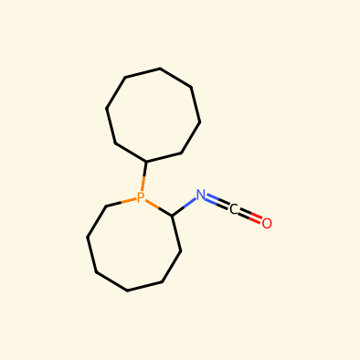 O=C=NC1CCCCCCP1C1CCCCCCC1